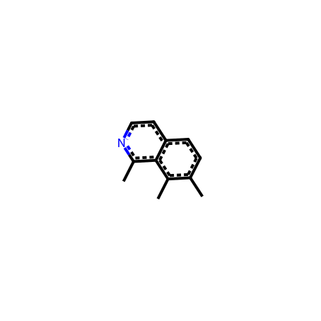 Cc1ccc2ccnc(C)c2c1C